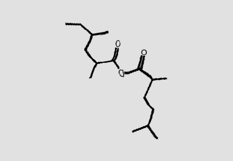 CCC(C)CC(C)C(=O)OC(=O)C(C)CCC(C)C